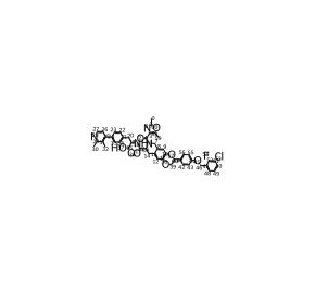 Cc1nc(C(=O)N2Cc3cc4c(cc3C[C@H]2C(=O)NC(Cc2ccc(-c3ccnc(C)c3C)cc2)C(=O)O)OC[C@H](c2ccc(OCc3cccc(Cl)c3F)cc2)O4)c(C)o1